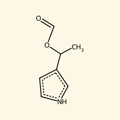 CC(OC=O)c1cc[nH]c1